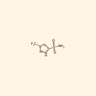 NS(=O)(=O)c1cc(C(F)(F)F)n[nH]1